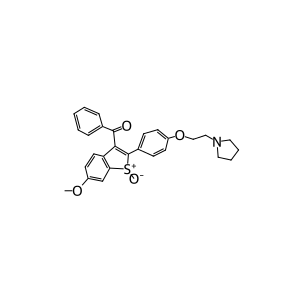 COc1ccc2c(C(=O)c3ccccc3)c(-c3ccc(OCCN4CCCC4)cc3)[s+]([O-])c2c1